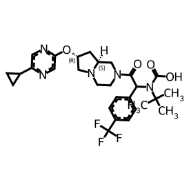 CC(C)(C)N(C(=O)O)C(C(=O)N1CCN2C[C@H](Oc3cnc(C4CC4)cn3)C[C@H]2C1)c1ccc(C(F)(F)F)cc1